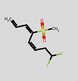 C=C/C=C(\C=C/CC(F)F)S(C)(=O)=O